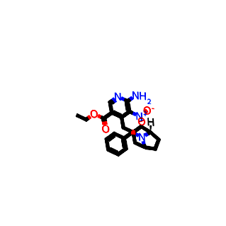 CCOC(=O)c1cnc(N)c([N+](=O)[O-])c1CC1CC2CC[C@H](C1)N2Cc1ccccc1